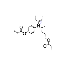 C=CC(=O)OCCCC(C)N(/C(C=C)=C/C)c1ccc(OC(=O)C=C)cc1